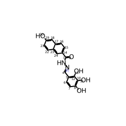 O=C(N/N=C/c1ccc(O)c(O)c1O)c1ccc2cc(O)ccc2c1